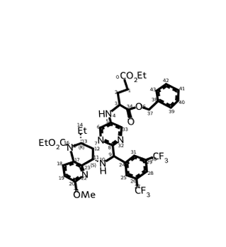 CCOC(=O)CCC(Nc1cnc(C(N[C@H]2C[C@@H](CC)N(C(=O)OCC)c3ccc(OC)nc32)c2cc(C(F)(F)F)cc(C(F)(F)F)c2)nc1)C(=O)OCc1ccccc1